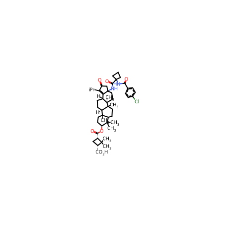 CC(C)C1=C2[C@H]3CC[C@@H]4[C@@]5(C)CC[C@H](OC(=O)[C@H]6C[C@@H](C(=O)O)C6(C)C)C(C)(C)C5CC[C@@]4(C)[C@]3(C)CC[C@@]2(NC(=O)C2(NC(=O)c3ccc(Cl)cc3)CCC2)CC1=O